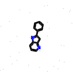 c1ccc(C2=Nc3cccnc3C2)cc1